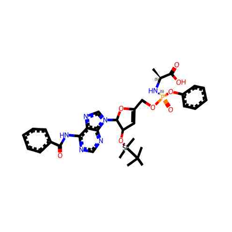 C[C@H](N[P@](=O)(OCC1=CC(O[Si](C)(C)C(C)(C)C)C(n2cnc3c(NC(=O)c4ccccc4)ncnc32)O1)Oc1ccccc1)C(=O)O